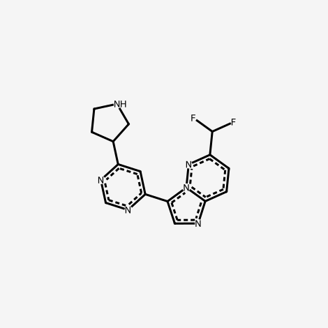 FC(F)c1ccc2ncc(-c3cc(C4CCNC4)ncn3)n2n1